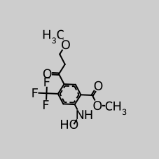 COCCC(=O)c1cc(C(=O)OC)c(NO)cc1C(F)(F)F